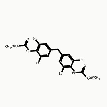 CCc1cc(Cc2cc(CC)c(NC(=O)N(C)O)c(CC)c2)cc(CC)c1NC(=O)N(C)O